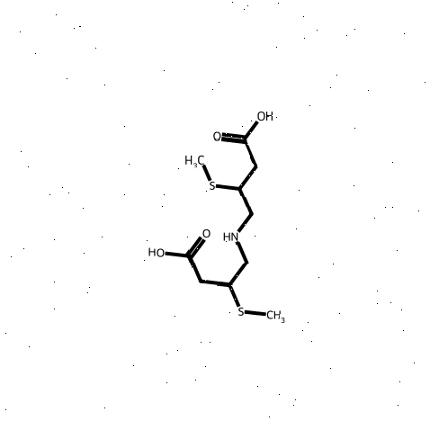 CSC(CNCC(CC(=O)O)SC)CC(=O)O